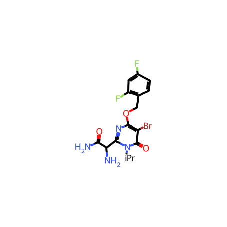 CC(C)n1c(C(N)C(N)=O)nc(OCc2ccc(F)cc2F)c(Br)c1=O